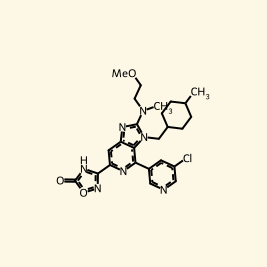 COCCN(C)c1nc2cc(-c3noc(=O)[nH]3)nc(-c3cncc(Cl)c3)c2n1CC1CCC(C)CC1